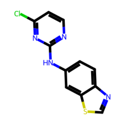 Clc1ccnc(Nc2ccc3ncsc3c2)n1